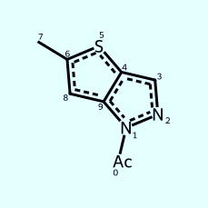 CC(=O)n1ncc2sc(C)cc21